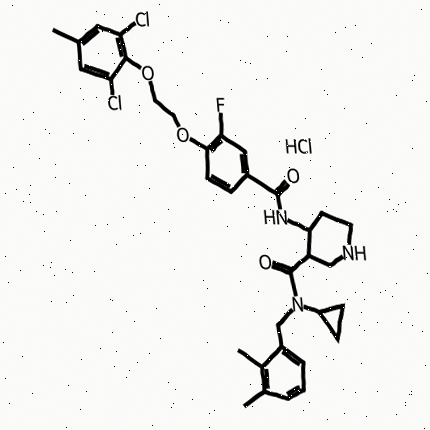 Cc1cc(Cl)c(OCCOc2ccc(C(=O)NC3CCNCC3C(=O)N(Cc3cccc(C)c3C)C3CC3)cc2F)c(Cl)c1.Cl